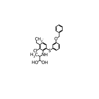 [CH2]Cc1ccc(Sc2cccc(OCc3ccccc3)c2)c(NC(C)C(O)O)c1Cl